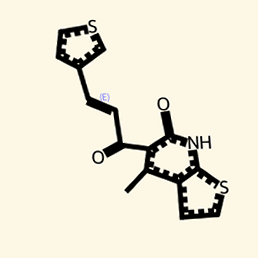 Cc1c(C(=O)/C=C/c2ccsc2)c(=O)[nH]c2sccc12